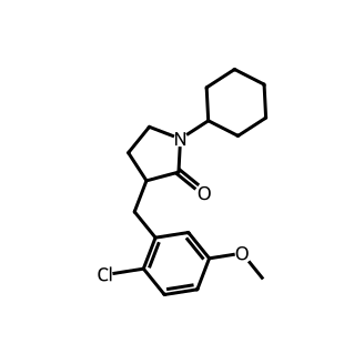 COc1ccc(Cl)c(CC2CCN(C3CCCCC3)C2=O)c1